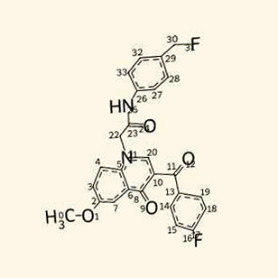 COc1ccc2c(c1)c(=O)c(C(=O)c1ccc(F)cc1)cn2CC(=O)Nc1ccc(CF)cc1